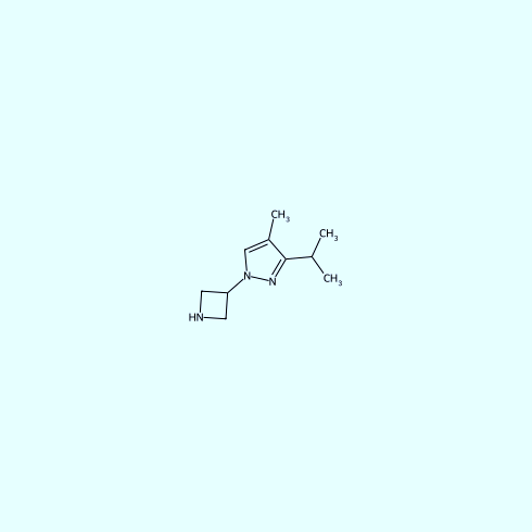 Cc1cn(C2CNC2)nc1C(C)C